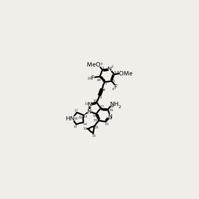 COc1nc(OC)c(F)c(C#Cc2nn([C@H]3CCNC3)c3c(C4CC4)cnc(N)c23)c1F